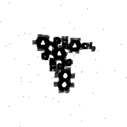 Cc1ccc(Nc2cc(C(=O)OC3CCC4CCCCC4C3)c(N)c3c2C(=O)c2ccccc2C3=O)cc1